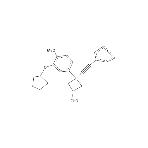 COc1ccc([C@]2(C#Cc3ccccc3)C[C@@H](C=O)C2)cc1OC1CCCC1